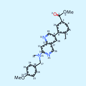 COC(=O)c1ccc(C)c(-c2cnc3cc(N(C)Cc4ccc(OC)cc4)ncc3c2)c1